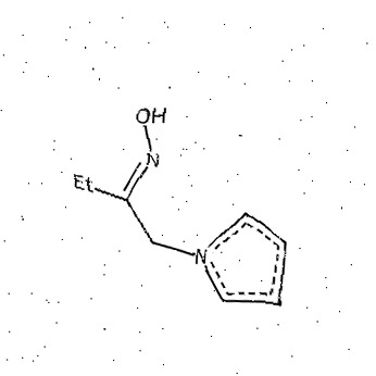 CCC(Cn1cccc1)=NO